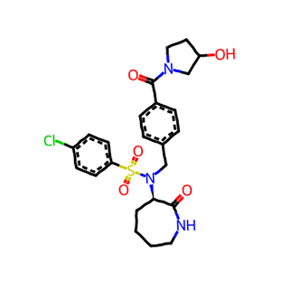 O=C1NCCCC[C@H]1N(Cc1ccc(C(=O)N2CCC(O)C2)cc1)S(=O)(=O)c1ccc(Cl)cc1